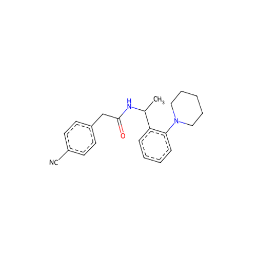 CC(NC(=O)Cc1ccc(C#N)cc1)c1ccccc1N1CCCCC1